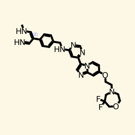 CN/C=C(\C=N)c1ccc(CNc2cc(-c3cnc4cc(OCCN5CCOCC(F)(F)C5)ccn34)ncn2)cc1